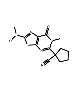 Cn1c(C2(C#N)CCCC2)nc2sc([S+](C)[O-])nc2c1=O